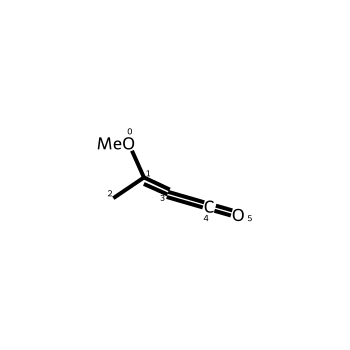 COC(C)=C=C=O